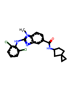 Cn1c(Nc2c(Cl)cccc2Cl)nc2cc(C(=O)NC3CCC4(CC4)C3)ccc21